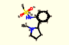 CC(C)(C)N1CCCC1c1ccccc1NS(C)(=O)=O